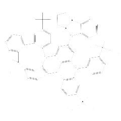 CC(C)(C)c1cccc(N2c3cc(C(C)(C)C)ccc3B3c4ccc5cc4N(c4ccc(C(C)(C)C)cc4-c4ccccc4C5(C)C)c4cc(N5c6ccccc6C6(C)CCCC56C)cc2c43)c1